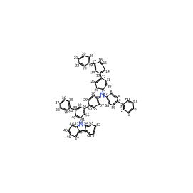 c1ccc(-c2ccc(N(c3ccc(-c4cccc(-c5ccccc5)c4)cc3)c3ccc(-c4cc(-c5ccccc5)cc(-n5c6ccccc6c6ccccc65)c4)cc3)cc2)cc1